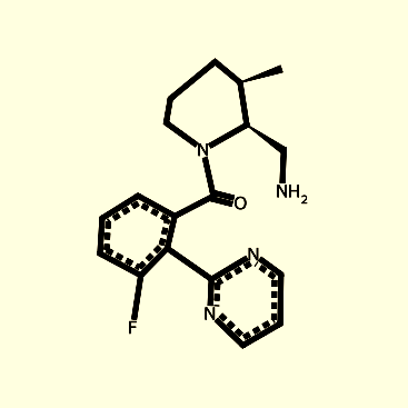 C[C@@H]1CCCN(C(=O)c2cccc(F)c2-c2ncccn2)[C@@H]1CN